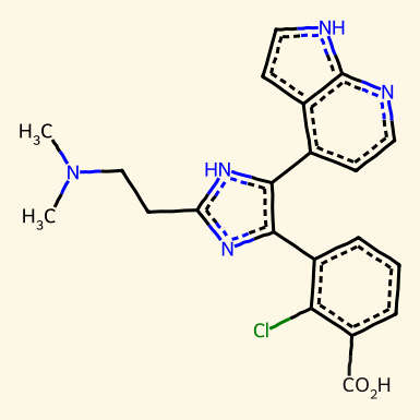 CN(C)CCc1nc(-c2cccc(C(=O)O)c2Cl)c(-c2ccnc3[nH]ccc23)[nH]1